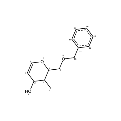 CC1C(O)C=COC1COCc1ccccc1